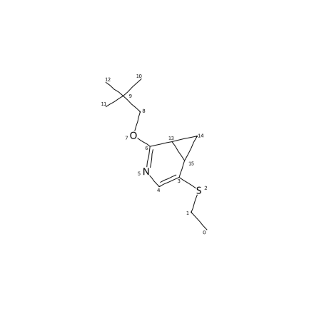 CCSC1=CN=C(OCC(C)(C)C)C2CC12